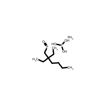 CCCCC(CC)(CC)CP=O.OP(O)O.P